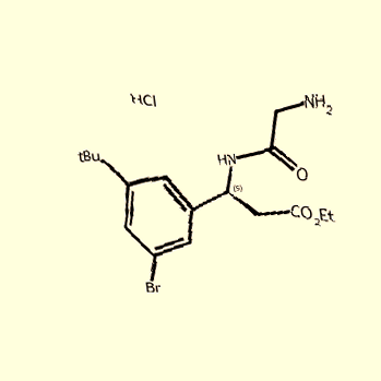 CCOC(=O)C[C@H](NC(=O)CN)c1cc(Br)cc(C(C)(C)C)c1.Cl